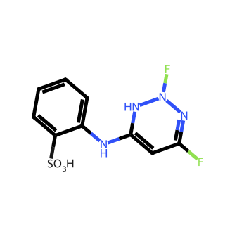 O=S(=O)(O)c1ccccc1NC1=CC(F)=NN(F)N1